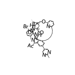 CC(=O)c1nn2c3c(cc(-c4cnc(C)nc4)cc13)CCCCCc1cccc(n1)OC[C@@]13C[C@@H](C(=O)Nc4nc(Br)ccc4C)N(C(=O)C2)[C@@H]1[C@@H]3C